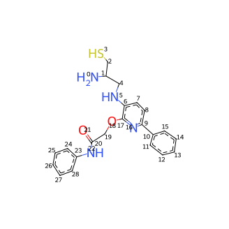 NC(CS)CNc1ccc(-c2ccccc2)nc1OCC(=O)Nc1ccccc1